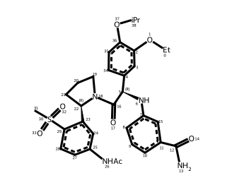 CCOc1cc([C@@H](Nc2cccc(C(N)=O)c2)C(=O)N2CCC[C@@H]2c2cc(NC(C)=O)ccc2S(C)(=O)=O)ccc1OC(C)C